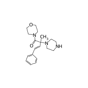 CC(/C=C/c1ccccc1)(C(=O)N1CCOCC1)N1CCNCC1